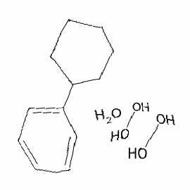 O.OO.OO.c1ccc(C2CCCCC2)cc1